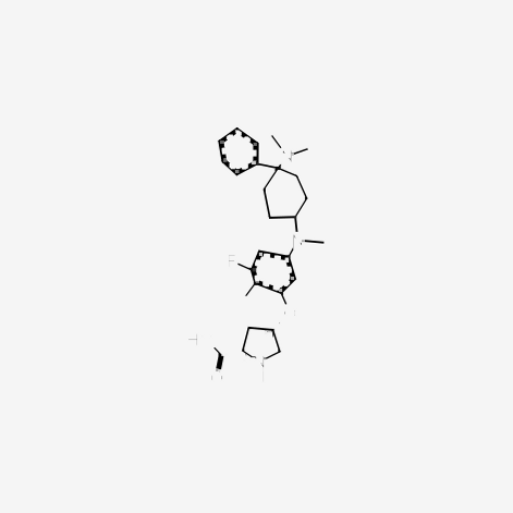 CN(c1cc(F)c(F)c(O[C@@H]2CN[C@H](C(=O)O)C2)c1)C1CCC(c2ccccc2)(N(C)C)CC1